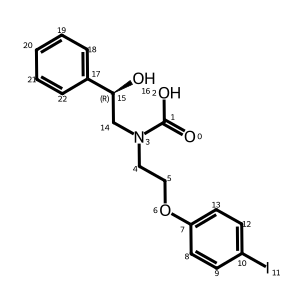 O=C(O)N(CCOc1ccc(I)cc1)C[C@H](O)c1ccccc1